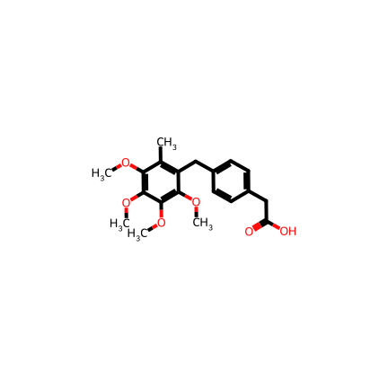 COc1c(C)c(Cc2ccc(CC(=O)O)cc2)c(OC)c(OC)c1OC